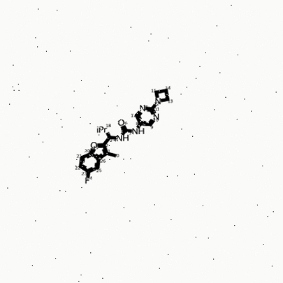 Cc1c(C(NC(=O)Nc2cnc(N3CCC3)nc2)C(C)C)oc2ccc(F)cc12